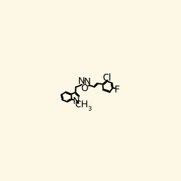 Cn1cc(Cc2nnc(/C=C/c3ccc(F)cc3Cl)o2)c2ccccc21